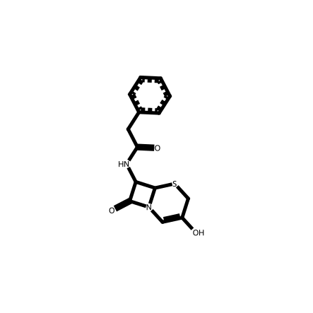 O=C(Cc1ccccc1)NC1C(=O)N2C=C(O)CSC12